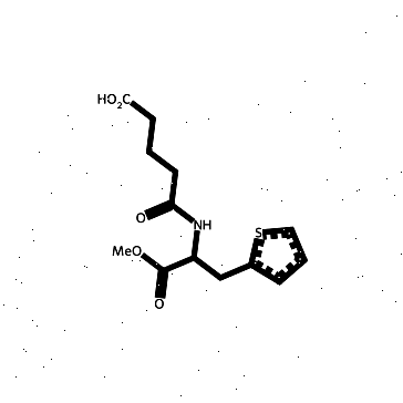 COC(=O)C(Cc1cccs1)NC(=O)CCCC(=O)O